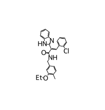 CCOc1cc(CNC(=O)/C(=C/c2ccccc2Cl)c2nc3ccccc3[nH]2)ccc1C